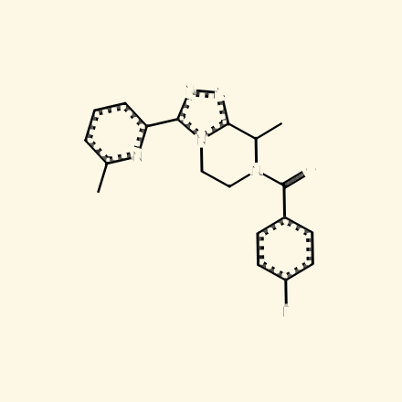 Cc1cccc(-c2nnc3n2CCN(C(=O)c2ccc(F)cc2)C3C)n1